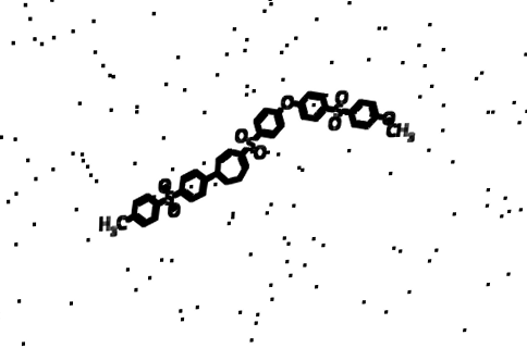 COc1ccc(S(=O)(=O)c2ccc(Oc3ccc(S(=O)(=O)C4=CCCC(c5ccc(S(=O)(=O)c6ccc(C)cc6)cc5)C=C4)cc3)cc2)cc1